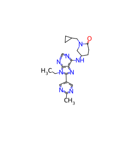 CCn1c(-c2cnc(C)nc2)nc2c(N[C@@H]3CCC(=O)N(CC4CC4)C3)ncnc21